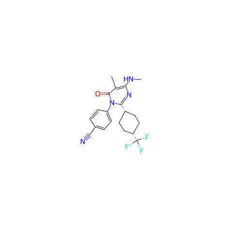 CNc1nc([C@H]2CC[C@@H](C(F)(F)F)CC2)n(-c2ccc(C#N)cc2)c(=O)c1C